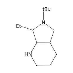 CCC1C2NCCCC2CN1C(C)(C)C